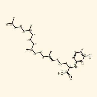 C/C(=C\CSCC(Nc1ccnc(Cl)n1)C(=O)O)CCCC(C)CCCC(C)CCCC(C)C